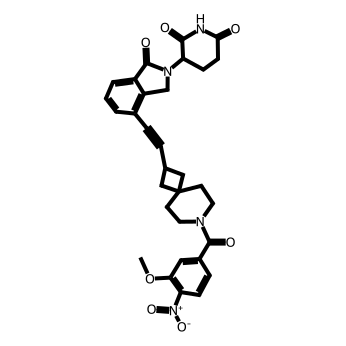 COc1cc(C(=O)N2CCC3(CC2)CC(C#Cc2cccc4c2CN(C2CCC(=O)NC2=O)C4=O)C3)ccc1[N+](=O)[O-]